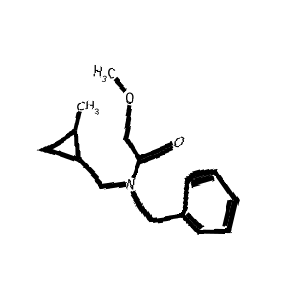 COCC(=O)N(Cc1ccccc1)CC1CC1C